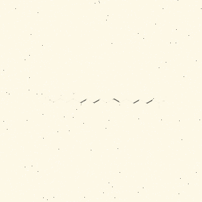 CC[C@@H](O)C=CC=CCC=CCC=CC=C[C@@H](O)CCCC(=O)O